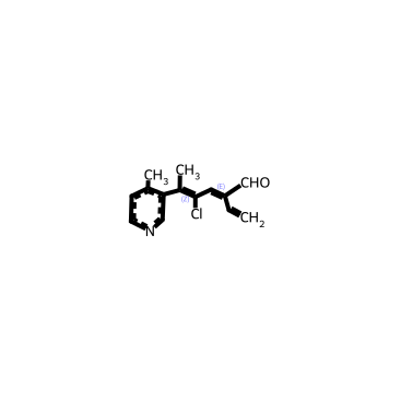 C=C/C(C=O)=C\C(Cl)=C(/C)c1cnccc1C